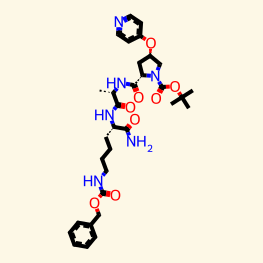 C[C@H](NC(=O)[C@@H]1C[C@@H](Oc2ccncc2)CN1C(=O)OC(C)(C)C)C(=O)N[C@@H](CCCCNC(=O)OCc1ccccc1)C(N)=O